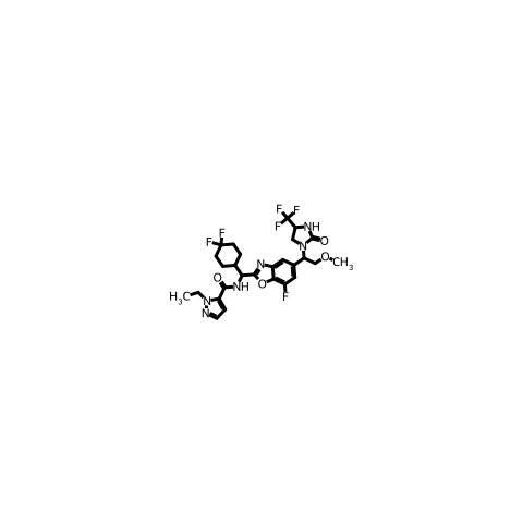 CCn1nccc1C(=O)NC(c1nc2cc(C(COC)N3CC(C(F)(F)F)NC3=O)cc(F)c2o1)C1CCC(F)(F)CC1